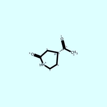 CC(=O)[C@@H]1CCNC(=O)C1